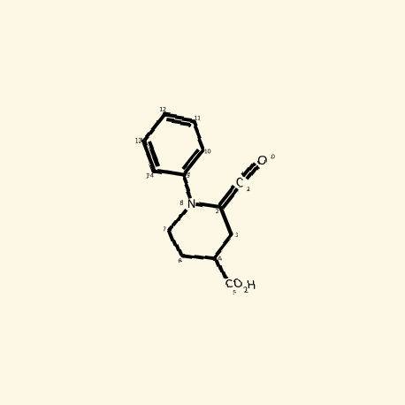 O=C=C1CC(C(=O)O)CCN1c1ccccc1